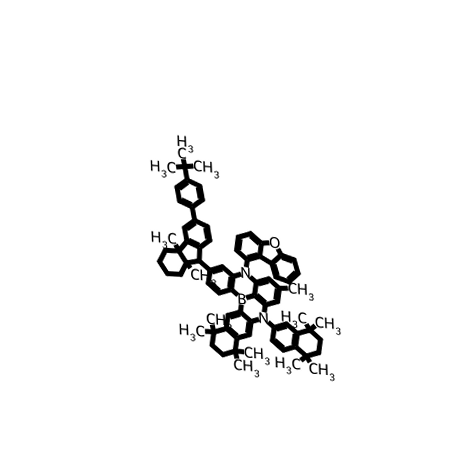 Cc1cc2c3c(c1)N(c1cccc4oc5ccccc5c14)c1cc(C4c5ccc(-c6ccc(C(C)(C)C)cc6)cc5C5(C)CCCCC45C)ccc1B3c1cc3c(cc1N2c1ccc2c(c1)C(C)(C)CCC2(C)C)C(C)(C)CCC3(C)C